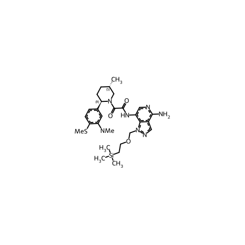 CNc1cc([C@H]2CC[C@H](C)CN2C(=O)C(=O)Nc2cnc(N)c3cnn(COCC[Si](C)(C)C)c23)ccc1SC